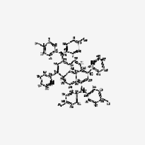 Cc1ccc(N(c2ccc(C)cc2)c2cc(-c3ccccn3)c3ccc4c(N(c5ccc(C)cc5)c5ccc(C)cc5)cc(-c5ccccn5)c5ccc2c3c54)cc1